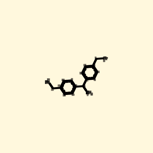 CC(C)Cc1ccc(C(N)c2ccc(CC(C)C)cc2)cc1